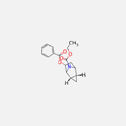 CCOC(=O)N1C2C(OC(=O)c3ccccc3)CC1[C@@H]1C[C@H]21